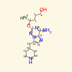 CCCC(CCCO)Oc1nc(N)c2ncc(CC3CCNCC3)n2n1